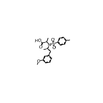 COc1cccc(CC(C)N(C(C)C(=O)O)S(=O)(=O)c2ccc(C)cc2)c1